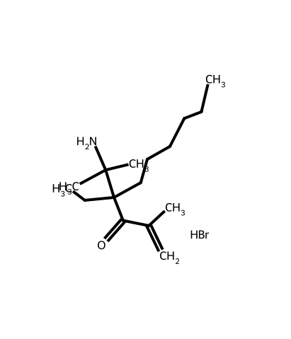 Br.C=C(C)C(=O)C(CC)(CCCCCC)C(C)(C)N